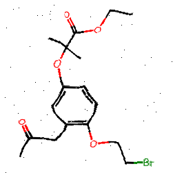 CCOC(=O)C(C)(C)Oc1ccc(OCCBr)c(CC(C)=O)c1